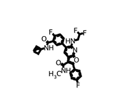 CNC(=O)c1c(-c2ccc(F)cc2)oc2nc(NCC(F)F)c(-c3ccc(F)c(C(=O)NC45CC(C4)C5)c3)cc12